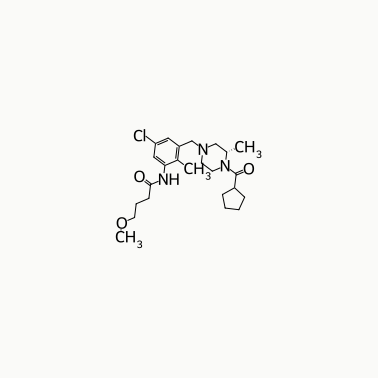 COCCCC(=O)Nc1cc(Cl)cc(CN2CCN(C(=O)C3CCCC3)[C@@H](C)C2)c1C